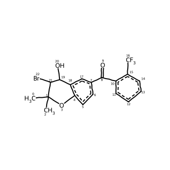 CC1(C)Oc2ccc(C(=O)c3ccccc3C(F)(F)F)cc2C(O)C1Br